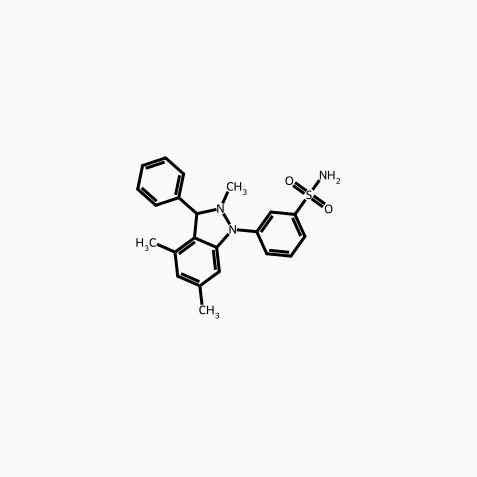 Cc1cc(C)c2c(c1)N(c1cccc(S(N)(=O)=O)c1)N(C)C2c1ccccc1